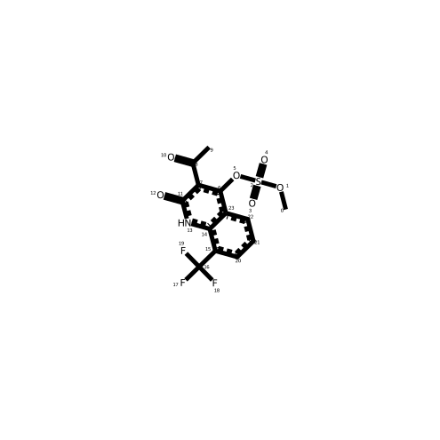 COS(=O)(=O)Oc1c(C(C)=O)c(=O)[nH]c2c(C(F)(F)F)cccc12